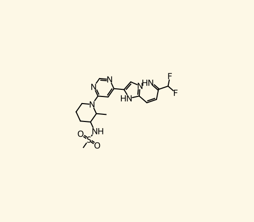 CC1C(NS(C)(=O)=O)CCCN1c1cc(-c2cnc(/C=C\C(=N)C(F)F)[nH]2)ncn1